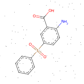 Nc1ccc(S(=O)(=O)c2ccccc2)cc1C(=O)O